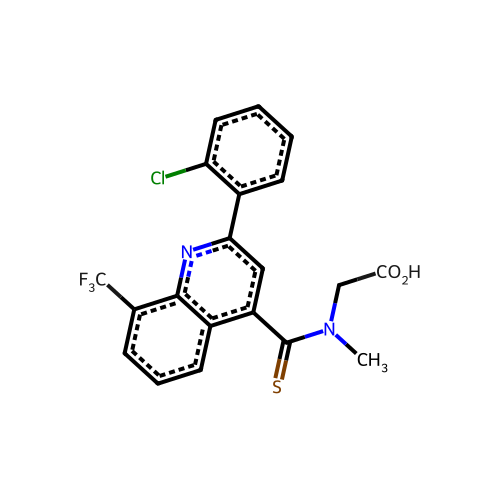 CN(CC(=O)O)C(=S)c1cc(-c2ccccc2Cl)nc2c(C(F)(F)F)cccc12